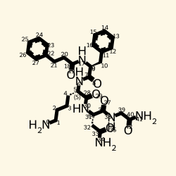 NCCCC[C@H](NC(=O)[C@H](Cc1ccccc1)NC(=O)CCc1ccccc1)C(=O)N[C@@H](CC(N)=O)C(=O)NCC(N)=O